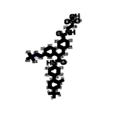 Cc1cc(C(C)(C)C)ccc1-c1ccc(NC(=O)C(Cc2ccc(C(=O)NCCS(=O)(=O)O)cc2)c2cccc(/C=C/C(C)(C)C)c2)cc1